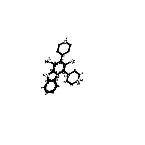 CCc1c(C2CCOCC2)c(C#N)c2nc3ccccc3n2c1N1CCNCC1